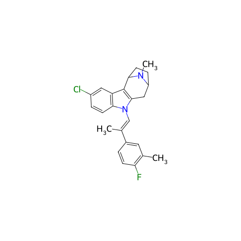 C/C(=C\n1c2c(c3cc(Cl)ccc31)C1CCC(C2)N1C)c1ccc(F)c(C)c1